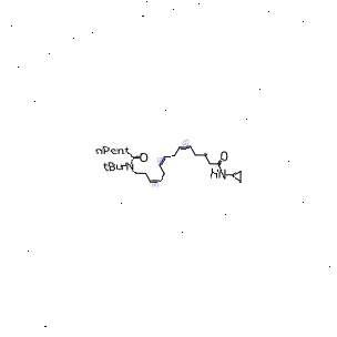 CCCCCC(=O)N(CC/C=C\C/C=C\C/C=C\CCCC(=O)NC1CC1)C(C)(C)C